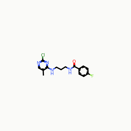 Cc1cnc(Cl)nc1NCCCNC(=O)c1ccc(F)cc1